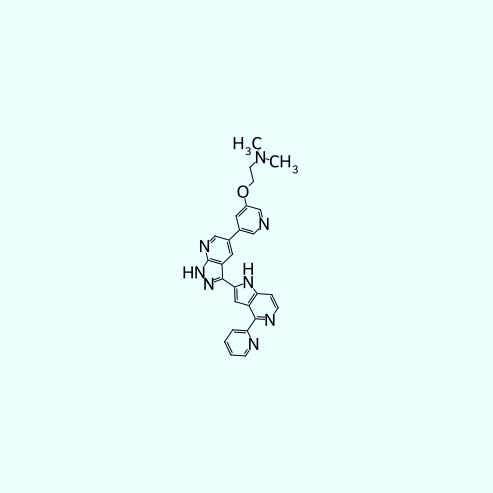 CN(C)CCOc1cncc(-c2cnc3[nH]nc(-c4cc5c(-c6ccccn6)nccc5[nH]4)c3c2)c1